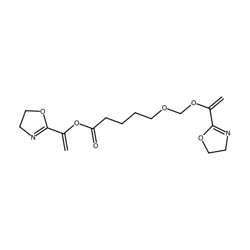 C=C(OCOCCCCC(=O)OC(=C)C1=NCCO1)C1=NCCO1